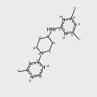 Cc1cc(N2CCC(Nc3nc(C)cc(C)n3)CC2)ncn1